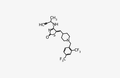 C#CC(C)NC1=NC(=O)S/C1=C\C1CCN(Cc2ccc(C(F)(F)F)cc2C(F)(F)F)CC1